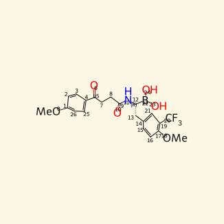 COc1ccc(C(=O)CCC(=O)N[C@@H](Cc2ccc(OC)c(C(F)(F)F)c2)B(O)O)cc1